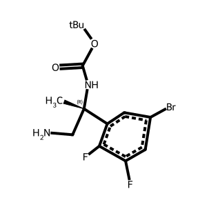 CC(C)(C)OC(=O)N[C@@](C)(CN)c1cc(Br)cc(F)c1F